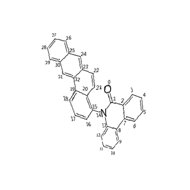 O=c1c2ccccc2c2ccccc2n1-c1cccc2c1ccc1cc3ccccc3cc12